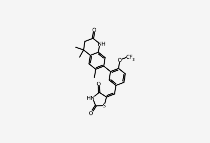 Cc1cc2c(cc1-c1cc(C=C3SC(=O)NC3=O)ccc1OC(F)(F)F)NC(=O)CC2(C)C